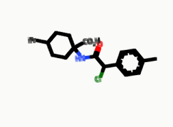 Cc1ccc(C(Cl)C(=O)NC2(C(=O)O)CCC(C(C)C)CC2)cc1